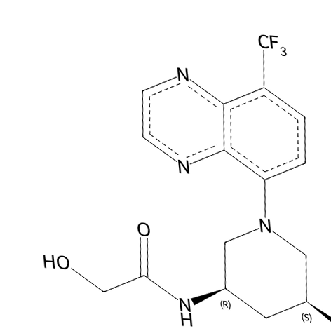 C[C@H]1C[C@@H](NC(=O)CO)CN(c2ccc(C(F)(F)F)c3nccnc23)C1